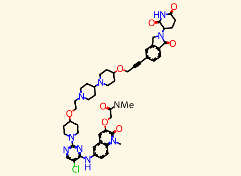 CNC(=O)COc1cc2cc(Nc3nc(N4CCC(OCCN5CCC(N6CCC(OCC#Cc7ccc8c(c7)CN(C7CCC(=O)NC7=O)C8=O)CC6)CC5)CC4)ncc3Cl)ccc2n(C)c1=O